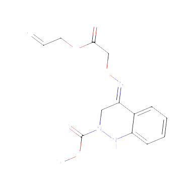 C=CCOC(=O)CON=C1CN(C(=O)OC(C)(C)C)Nc2ccccc21